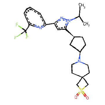 CC(C)n1nc(-c2cccc(C(F)(F)F)n2)cc1[C@H]1CC[C@@H](N2CCC3(CC2)CS(=O)(=O)C3)C1